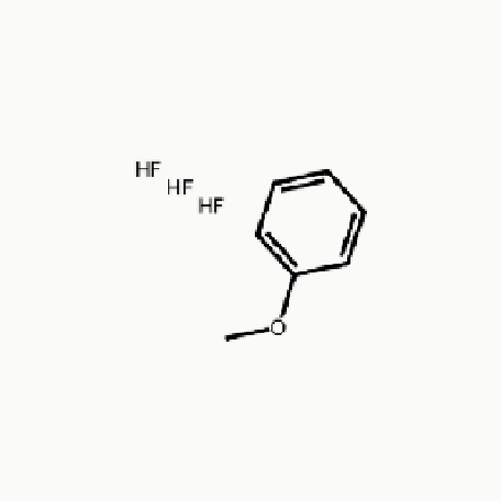 COc1ccccc1.F.F.F